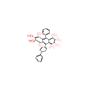 Bc1c(B)c(B)c2c(-c3ccc(-c4ccccc4)cc3)c3c(B)c(O)c(O)c(B)c3c(-c3ccccc3)c2c1B